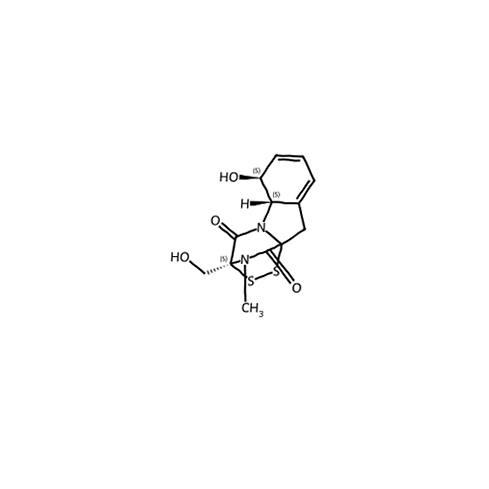 CN1C(=O)C23CC4=CC=C[C@H](O)[C@H]4N2C(=O)[C@]1(CO)SS3